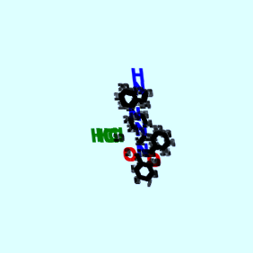 Cl.Cl.O=C(C1CCCCC1)N(CCN1CCN(c2cccc3[nH]ccc23)CC1)C(=O)C1CCCCC1